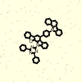 c1ccc(-c2nc(-c3ccccc3)nc(-n3c4ccccc4c4c(-c5ccc(-n6c7ccccc7c7ccc8ccccc8c76)cc5)cc5c6ccccc6oc5c43)n2)cc1